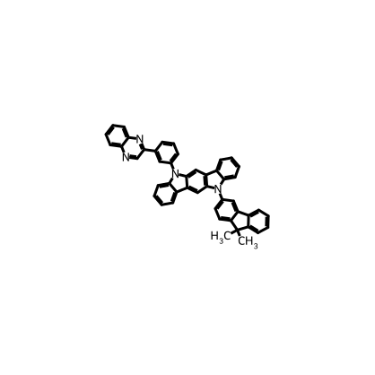 CC1(C)c2ccccc2-c2cc(-n3c4ccccc4c4cc5c(cc43)c3ccccc3n5-c3cccc(-c4cnc5ccccc5n4)c3)ccc21